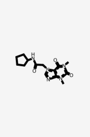 Cn1c(=O)c2c(ncn2CC(=O)NC2CCCC2)n(C)c1=O